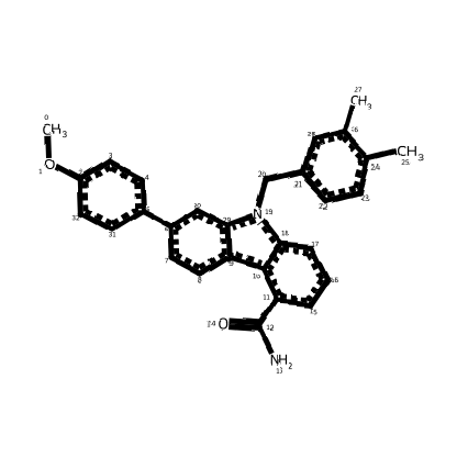 COc1ccc(-c2c[c]c3c4c(C(N)=O)cccc4n(Cc4ccc(C)c(C)c4)c3c2)cc1